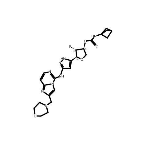 O=C(NC12CC(C1)C2)O[C@H]1CO[C@@H](c2cc(Nc3nccc4nc(CN5CCOCC5)cn34)n[nH]2)[C@@H]1F